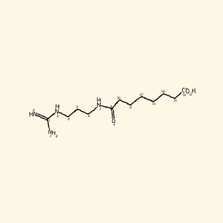 N=C(N)NCCCNC(=O)CCCCCCC(=O)O